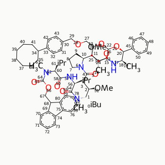 CC[C@H](C)[C@@H]([C@@H](CC(=O)N1CCC[C@H]1[C@H](OC)[C@@H](C)C(=O)N[C@H](C)[C@@H](OC1CCCC(COCc2ccc(C3CCCCCCC3)cc2)O1)c1ccccc1)OC)N(C)C(=O)[C@@H](NC(=O)[C@H](C(C)C)N(C)C(=O)OCC1c2ccccc2-c2ccccc21)C(C)C